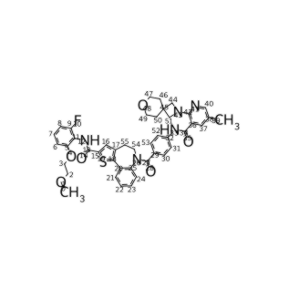 COCCOc1cccc(F)c1NC(=O)c1cc2c(s1)-c1ccccc1N(C(=O)c1ccc(NC(=O)c3cc(C)cnc3N3CC4(CCOCC4)C3)cc1)CC2